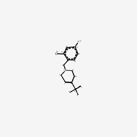 CC(C)(C)C1CCN(Cc2ccc(F)cc2Cl)CC1